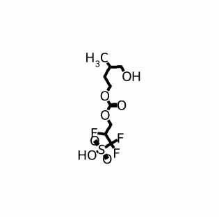 CC(CO)CCOC(=O)OCC(F)C(F)(F)S(=O)(=O)O